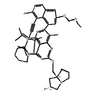 COCOc1cc(-c2nc(OC)c3c(N4CCCCC4)nc(OC[C@@]45CCCN4C[C@H](F)C5)nc3c2F)c2c(C#C[Si](C(C)C)(C(C)C)C(C)C)c(F)ccc2c1